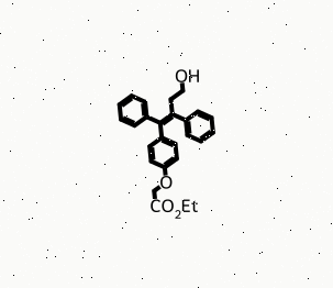 CCOC(=O)COc1ccc(C(=C(CCO)c2ccccc2)c2ccccc2)cc1